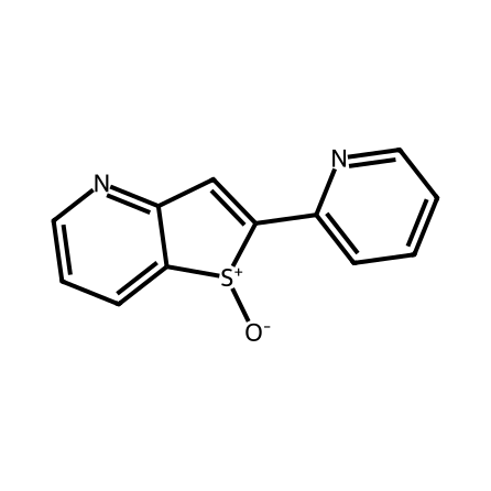 [O-][s+]1c(-c2ccccn2)cc2ncccc21